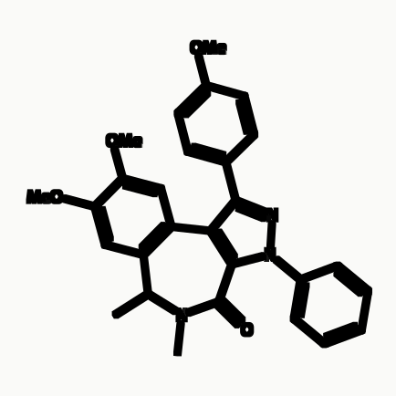 COc1ccc(-c2nn(-c3ccccc3)c3c2-c2cc(OC)c(OC)cc2C(C)N(C)C3=O)cc1